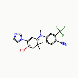 CN(c1ccc(C#N)c(C(F)(F)F)c1)[C@@H]1C=C(n2ccnc2)[C@H](O)CC1(C)C